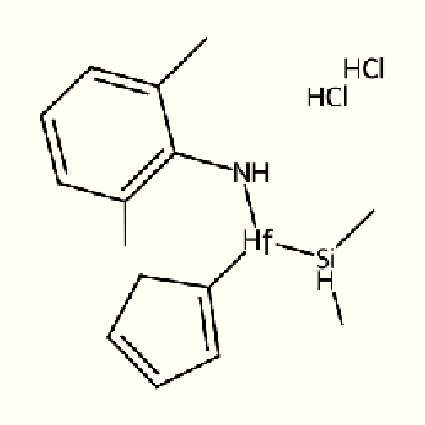 Cc1cccc(C)c1[NH][Hf]([C]1=CC=CC1)[SiH](C)C.Cl.Cl